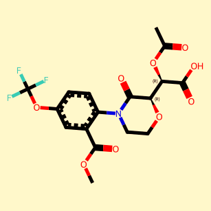 COC(=O)c1cc(OC(F)(F)F)ccc1N1CCO[C@H]([C@@H](OC(C)=O)C(=O)O)C1=O